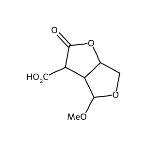 COC1OCC2OC(=O)C(C(=O)O)C21